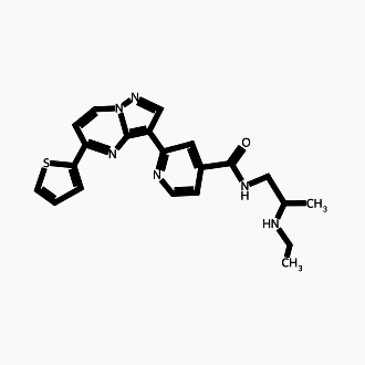 CCNC(C)CNC(=O)c1ccnc(-c2cnn3ccc(-c4cccs4)nc23)c1